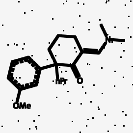 CCCC1(c2cccc(OC)c2)CCC/C(=C\N(C)C)C1=O